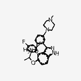 CC(Oc1ccc2[nH]nc(-c3cc(N4CCN(C)CC4)ccc3C(N)=O)c2c1)c1cc(F)cc(F)c1